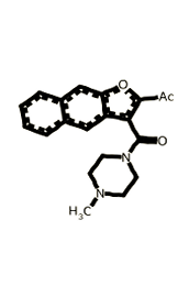 CC(=O)c1oc2cc3ccccc3cc2c1C(=O)N1CCN(C)CC1